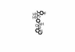 CC(NC(=S)Nc1ccc(NC(=O)Oc2cccc3cccnc23)cc1)c1ccc(F)cc1